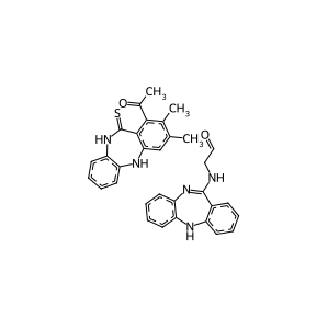 CC(=O)c1c(C)c(C)cc2c1C(=S)Nc1ccccc1N2.O=CCNC1=Nc2ccccc2Nc2ccccc21